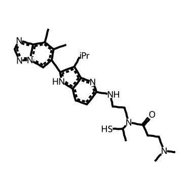 Cc1c(-c2[nH]c3ccc(NCCN(C(=O)CCN(C)C)C(C)S)nc3c2C(C)C)cn2ncnc2c1C